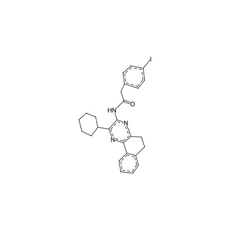 O=C(Cc1ccc(I)cc1)Nc1nc2c(nc1C1CCCCC1)-c1ccccc1CC2